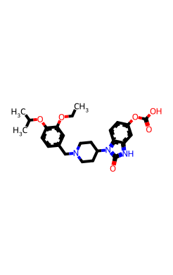 CCOc1cc(CN2CCC(n3c(=O)[nH]c4cc(OC(=O)O)ccc43)CC2)ccc1OC(C)C